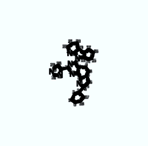 c1ccc(-c2ccc3ccc4c(-n5c6ccccc6c6cccnc65)nc(-c5ccncn5)nc4c3n2)cc1